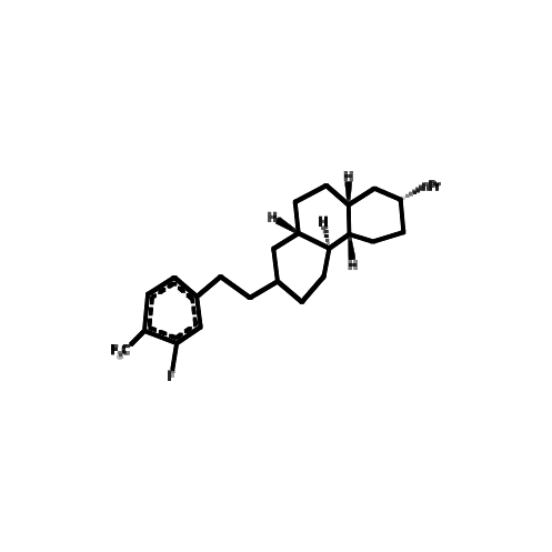 CCC[C@@H]1CC[C@H]2[C@H](CC[C@H]3CC(CCc4ccc(C(F)(F)F)c(F)c4)CC[C@@H]32)C1